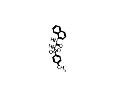 Cc1ccc(S(=O)(=O)NC(=O)Nc2cccc3ccccc23)cc1